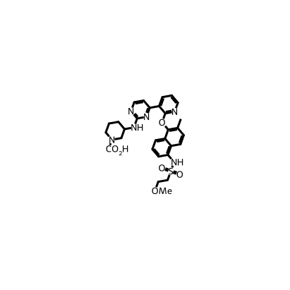 COCCS(=O)(=O)Nc1cccc2c(Oc3ncccc3-c3ccnc(NC4CCCN(C(=O)O)C4)n3)c(C)ccc12